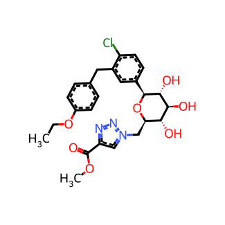 CCOc1ccc(Cc2cc([C@@H]3O[C@H](Cn4cc(C(=O)OC)nn4)[C@@H](O)[C@H](O)[C@H]3O)ccc2Cl)cc1